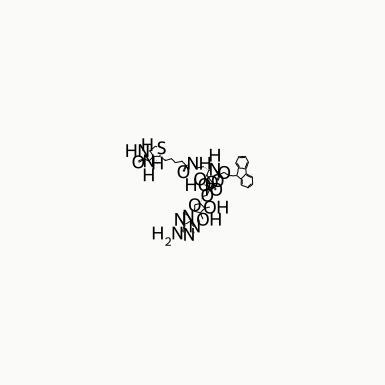 Nc1ncnc2c1ncn2[C@@H]1O[C@H](COP(=O)(O)OC(=O)[C@H](CCNC(=O)CCCC[C@@H]2SC[C@@H]3NC(=O)N[C@@H]32)NC(=O)OCC2c3ccccc3-c3ccccc32)C(O)C1O